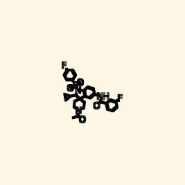 CC(=O)N1CCC2(CC1)c1cc(NC(=O)c3cccc(F)c3)ccc1N(S(=O)(=O)c1ccc(F)cc1)C2C1CC1